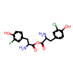 NC(Cc1ccc(O)c(F)c1)C(=O)OC(=O)C(N)Cc1ccc(O)c(Cl)c1